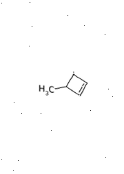 CC1[CH]C=C1